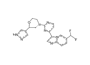 FC(F)c1ccc2ncc(-c3ccnc(N4CCOC(c5cn[nH]c5)C4)n3)n2c1